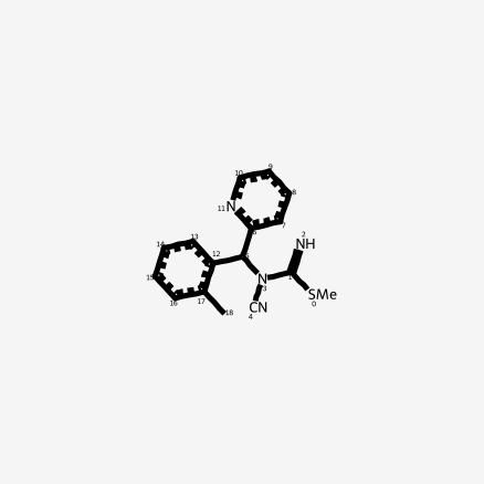 CSC(=N)N(C#N)C(c1ccccn1)c1ccccc1C